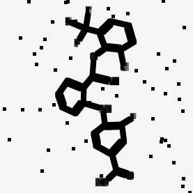 N=C(Oc1c(Cl)cccc1C(F)(F)F)c1ccccc1Nc1ccc(C(=O)O)cc1F